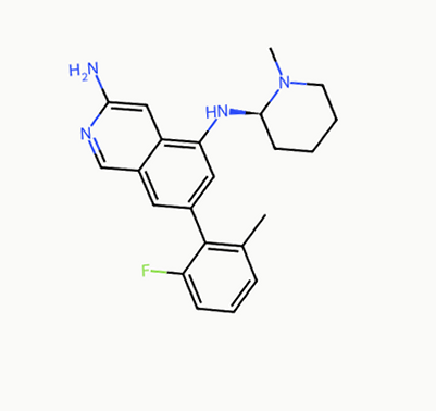 Cc1cccc(F)c1-c1cc(N[C@@H]2CCCCN2C)c2cc(N)ncc2c1